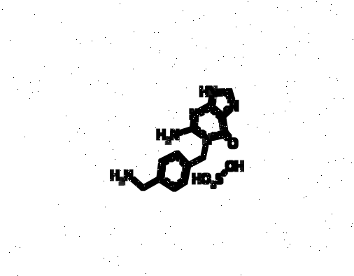 NCc1ccc(Cn2c(N)nc3[nH]cnc3c2=O)cc1.O=S(=O)(O)O